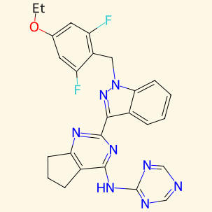 CCOc1cc(F)c(Cn2nc(-c3nc4c(c(Nc5ncncn5)n3)CCC4)c3ccccc32)c(F)c1